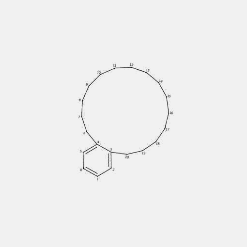 c1ccc2c(c1)CCCCCCCCCCCCCCC2